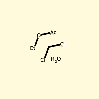 CCOC(C)=O.ClCCl.O